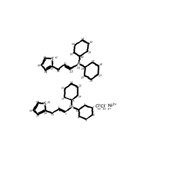 C(=CP(C1CCCCC1)C1CCCCC1)Cc1cccs1.C(=CP(C1CCCCC1)C1CCCCC1)Cc1cccs1.[Cl-].[Cl-].[Ni+2]